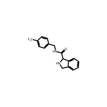 O=C(NCc1ccc(C(F)(F)F)cc1)C1NCc2ccccc21